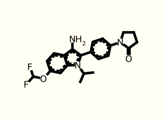 CC(C)n1c(-c2ccc(N3CCCC3=O)cc2)c(N)c2ccc(OC(F)F)cc21